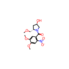 COC[C@@H]1C[C@@H](O)CN1C(=O)c1cc(OC)c(OC)cc1[N+](=O)[O-]